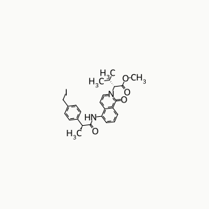 COC(=O)[C@@H](C(C)C)n1ccc2c(NC(=O)[C@@H](C)c3ccc(CI)cc3)cccc2c1=O